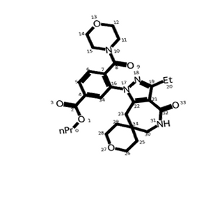 CCCOC(=O)c1ccc(C(=O)N2CCOCC2)c(-n2nc(CC)c3c2CC2(CCOCC2)CNC3=O)c1